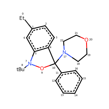 CCc1ccc2c(c1)N(C(C)(C)C)OC2(c1ccccc1)N1CCOCC1